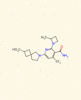 CC1CCN1c1nc(N2CCC3(CC(C(=O)O)C3)C2)cc(C(F)(F)F)c1C(N)=O